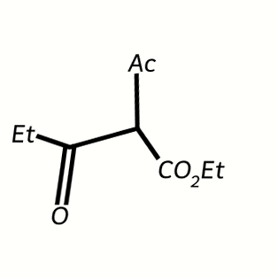 CCOC(=O)C(C(C)=O)C(=O)CC